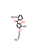 CCCc1c(OCCCCC#N)ccc(C(=O)c2ccccc2OC)c1O